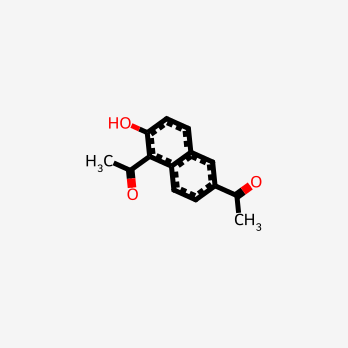 CC(=O)c1ccc2c(C(C)=O)c(O)ccc2c1